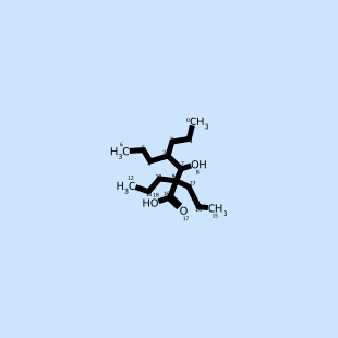 CCCC(CCC)C(O)C(CCC)(CCC)C(=O)O